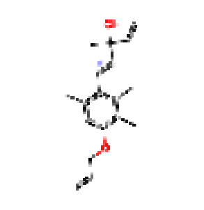 C=CCOc1cc(C)c(/C=C/C(C)(O)C=C)c(C)c1C